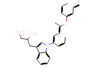 C=C/C=C(\C=C/C)O/C(C)=C/C=C(\C=C/C)n1cc(CC(O)CO)c2ccccc21